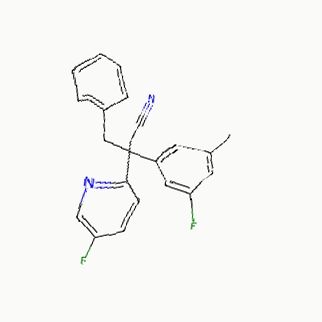 Cc1cc(F)cc(C(C#N)(Cc2ccccc2)c2ccc(F)cn2)c1